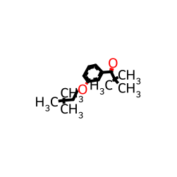 CC(C)(C)CCOc1cccc(C(=O)C(C)(C)C)c1